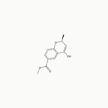 COC(=O)c1ccc2c(c1)C(O)=C[C@H](C)O2